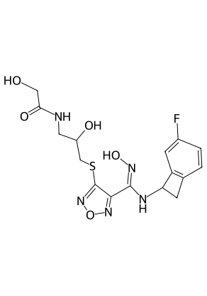 O=C(CO)NCC(O)CSc1nonc1C(=NO)NC1Cc2ccc(F)cc21